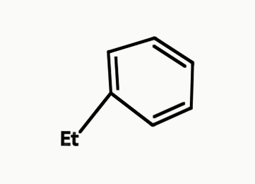 [CH2]Cc1ccccc1